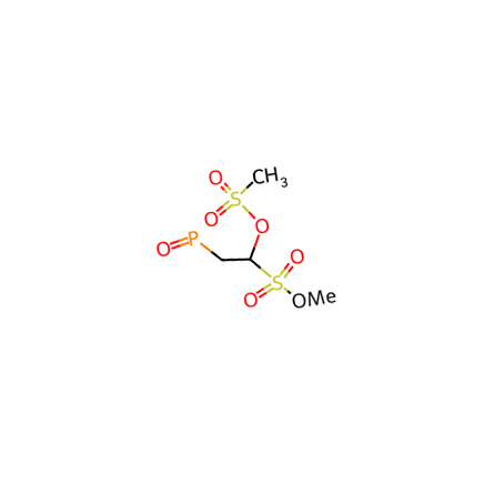 COS(=O)(=O)C(CP=O)OS(C)(=O)=O